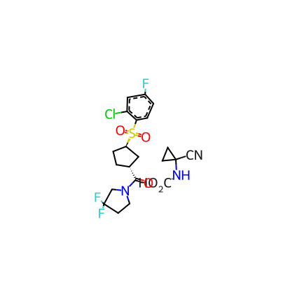 N#CC1(NC(=O)O)CC1.O=C([C@@H]1CC[C@@H](S(=O)(=O)c2ccc(F)cc2Cl)C1)N1CCC(F)(F)C1